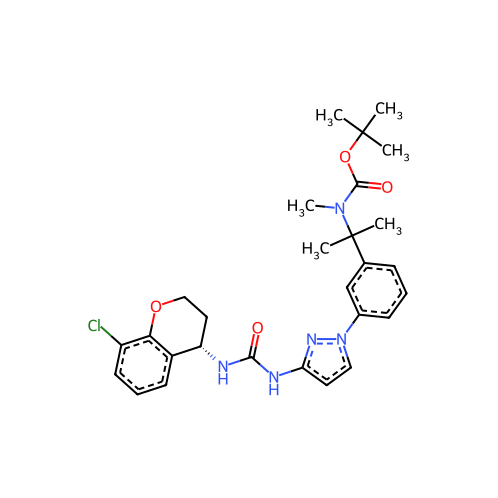 CN(C(=O)OC(C)(C)C)C(C)(C)c1cccc(-n2ccc(NC(=O)N[C@H]3CCOc4c(Cl)cccc43)n2)c1